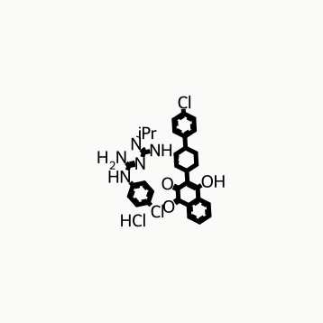 CC(C)N=C(N)N=C(N)Nc1ccc(Cl)cc1.Cl.O=C1C(=O)c2ccccc2C(O)=C1C1CCC(c2ccc(Cl)cc2)CC1